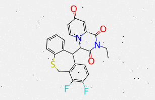 CCN1C(=O)c2cc(=O)ccn2C(C2c3ccccc3SCc3c2ccc(F)c3F)C1=O